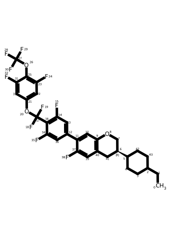 CCC1CCC([C@@H]2COc3cc(-c4cc(F)c(C(F)(F)Oc5cc(F)c(OC(F)(F)F)c(F)c5)c(F)c4)c(F)cc3C2)CC1